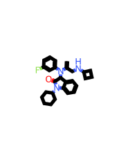 C=C(CNC1CCC1)N(c1cccc(F)c1)C1C(=O)N(C2CCCCC2)c2ccccc21